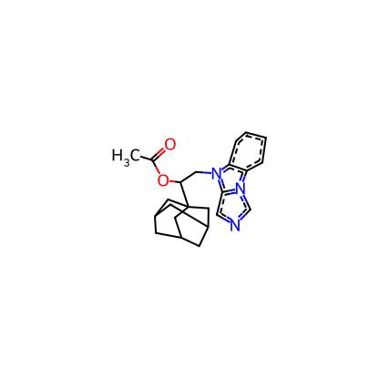 CC(=O)OC(Cn1c2ccccc2n2cncc12)C12CC3CC(CC(C3)C1)C2